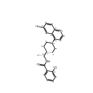 C[C@@H](NC(=O)c1ccccc1Cl)[C@H]1CC[C@H](c2ccnc3ccc(F)cc32)CC1